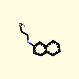 CCC[N]c1ccc2ccccc2c1